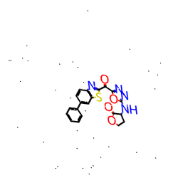 O=C(c1nnc(NC2CCOC2=O)o1)c1nc2ccc(-c3ccccc3)cc2s1